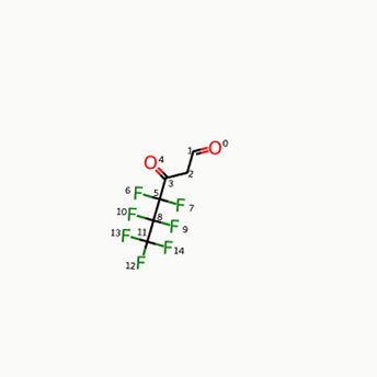 O=CCC(=O)C(F)(F)C(F)(F)C(F)(F)F